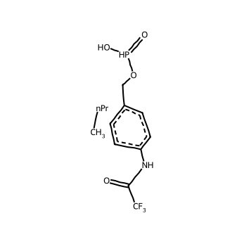 CCCC.O=C(Nc1ccc(CO[PH](=O)O)cc1)C(F)(F)F